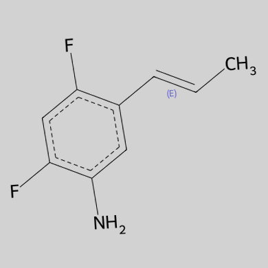 C/C=C/c1cc(N)c(F)cc1F